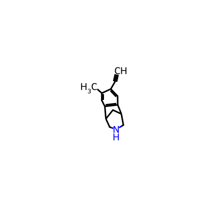 C#Cc1cc2c(cc1C)C1CNCC2C1